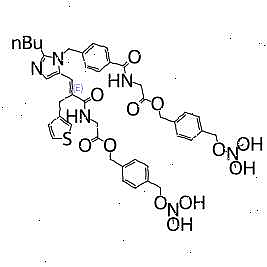 CCCCc1ncc(/C=C(\Cc2ccsc2)C(=O)NCC(=O)OCc2ccc(CON(O)O)cc2)n1Cc1ccc(C(=O)NCC(=O)OCc2ccc(CON(O)O)cc2)cc1